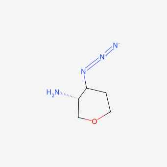 [N-]=[N+]=NC1CCOC[C@@H]1N